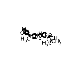 C[C@@H](c1ccc2c(c1)OCO2)N1CCN(c2nc3c(s2)CN(C(=O)OC(C)(C)C)CC3)CC1